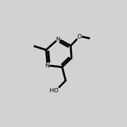 COc1cc(CO)nc(C)n1